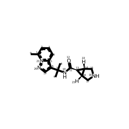 Cc1cccc2c(C(C)(C)NC(=O)[C@H]3[C@@H]4CNC[C@@H]43)cnn12